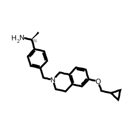 C[C@H](N)c1ccc(CN2CCc3cc(OCC4CC4)ccc3C2)cc1